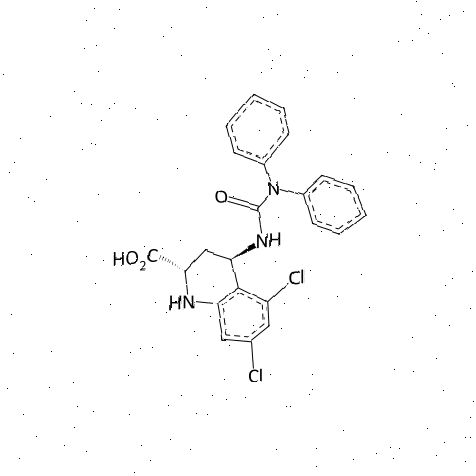 O=C(O)[C@@H]1C[C@@H](NC(=O)N(c2ccccc2)c2ccccc2)c2c(Cl)cc(Cl)cc2N1